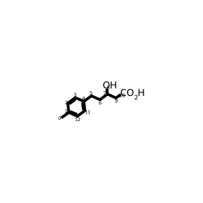 Cc1ccc(CCC(O)CC(=O)O)cc1